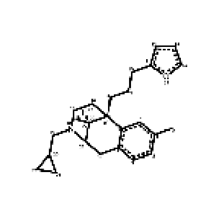 Cc1ccc2c(c1)[C@@]1(CCCc3ccco3)CCN(CC3CC3)C(C2)[C@@H]1C